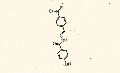 CCN(CC)c1ccc(C=NNC(=O)c2ccc(O)cc2)cc1